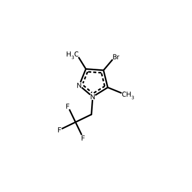 Cc1nn(CC(F)(F)F)c(C)c1Br